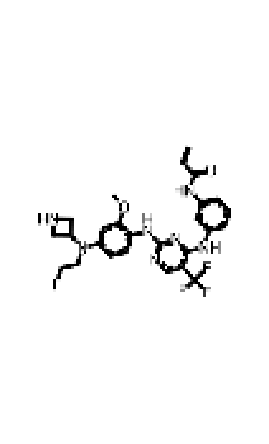 C=CC(=O)Nc1cccc(Nc2nc(Nc3ccc(N(CCF)C4CNC4)cc3OC)ncc2C(F)(F)F)c1